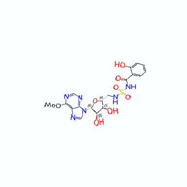 COc1ncnc2c1ncn2[C@@H]1O[C@H](CNS(=O)(=O)NC(=O)c2ccccc2O)[C@@H](O)[C@H]1O